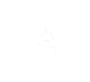 CN1CCN(CCO)C(CO)C1